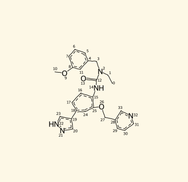 CCN(Cc1cccc(OC)c1)C(=O)Nc1ccc(-c2cn[nH]c2)cc1OCc1cccnc1